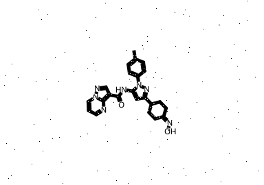 Cc1ccc(-n2nc(C3CCC(=NO)CC3)cc2NC(=O)c2cnn3cccnc23)cc1